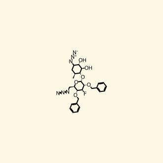 C[C@H]1CC(N=[N+]=[N-])[C@H](O)[C@@H](O)[C@@H]1O[C@H]1O[C@H](CN=[N+]=[N-])[C@@H](OCc2ccccc2)[C@H](F)[C@H]1OCc1ccccc1